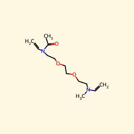 C=CN(C)CCOCCOCCN(C=C)C(C)=O